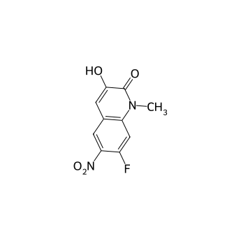 Cn1c(=O)c(O)cc2cc([N+](=O)[O-])c(F)cc21